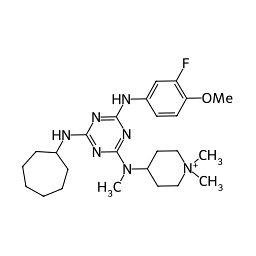 COc1ccc(Nc2nc(NC3CCCCCC3)nc(N(C)C3CC[N+](C)(C)CC3)n2)cc1F